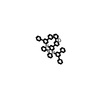 c1ccc(-c2cc(-c3ccccc3)cc(N3c4ccccc4B4c5ccccc5N(c5cc(-c6ccccc6)cc(-c6ccccc6)c5)c5cc(-c6ccc7oc8ccccc8c7c6)cc3c54)c2)cc1